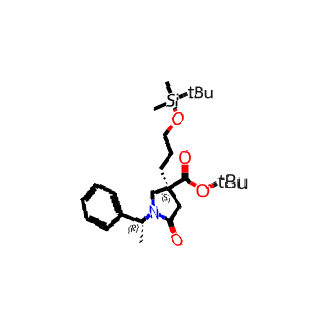 C[C@H](c1ccccc1)N1C[C@@](CCCO[Si](C)(C)C(C)(C)C)(C(=O)OC(C)(C)C)CC1=O